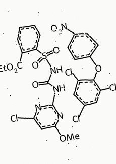 CCOC(=O)c1ccccc1S(=O)(=O)NC(=O)Nc1nc(Cl)cc(OC)n1.O=[N+]([O-])c1ccc(Oc2c(Cl)cc(Cl)cc2Cl)cc1